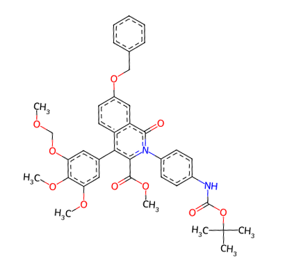 COCOc1cc(-c2c(C(=O)OC)n(-c3ccc(NC(=O)OC(C)(C)C)cc3)c(=O)c3cc(OCc4ccccc4)ccc23)cc(OC)c1OC